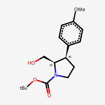 COc1ccc([C@H]2CCN(C(=O)OC(C)(C)C)[C@H]2CO)cc1